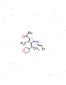 CC/C=C/N=C1/SC(C(=O)C(C)CC)=C(C)/C1=C(/C)C1CCOC1